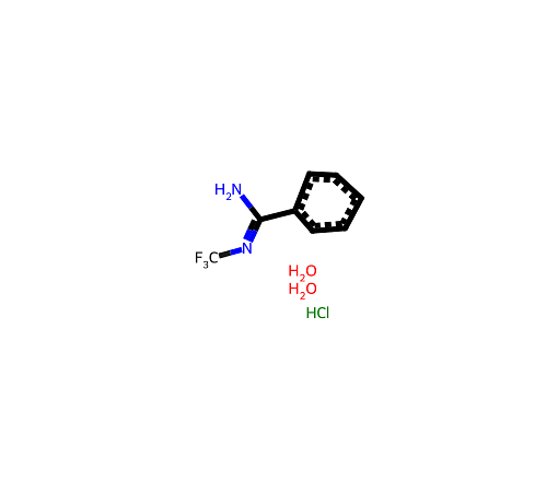 Cl.NC(=NC(F)(F)F)c1ccccc1.O.O